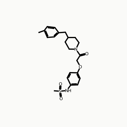 Cc1ccc(CC2CCN(C(=O)COc3ccc(NS(C)(=O)=O)cc3)CC2)cc1